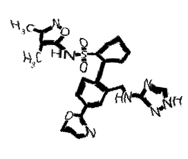 Cc1noc(NS(=O)(=O)c2ccccc2-c2ccc(-c3ncco3)cc2CNc2nc[nH]n2)c1C